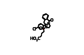 O=C(O)CCCC(=O)N1CCN2C(=O)c3ccccc3CC12c1ccc(Cl)cc1